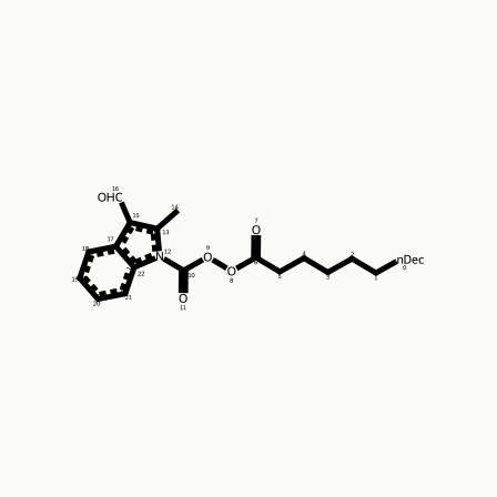 CCCCCCCCCCCCCCCC(=O)OOC(=O)n1c(C)c(C=O)c2ccccc21